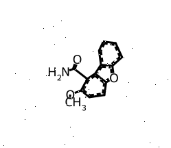 COc1[c]cc2oc3ccccc3c2c1C(N)=O